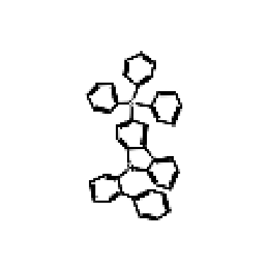 c1ccc(-c2ccccc2-n2c3ccccc3c3cc(S(c4ccccc4)(c4ccccc4)c4ccccc4)ccc32)cc1